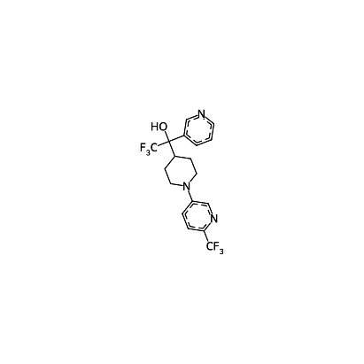 OC(c1cccnc1)(C1CCN(c2ccc(C(F)(F)F)nc2)CC1)C(F)(F)F